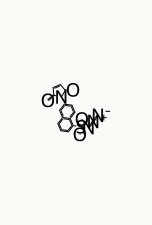 [N-]=[N+]=NS(=O)(=O)c1cccc2cc(N3C(=O)C=CC3=O)ccc12